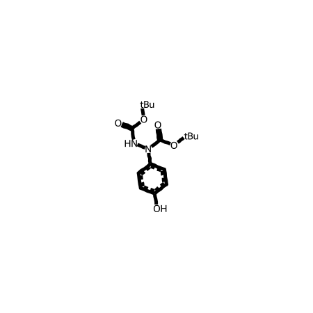 CC(C)(C)OC(=O)NN(C(=O)OC(C)(C)C)c1ccc(O)cc1